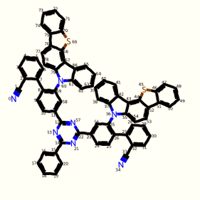 N#Cc1ccccc1-c1ccc(-c2nc(-c3ccccc3)nc(-c3ccc(-c4ccccc4C#N)c(-n4c5ccccc5c5c6sc7ccccc7c6ccc54)c3)n2)cc1-n1c2ccccc2c2c3sc4ccccc4c3ccc21